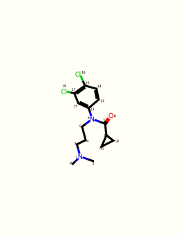 CN(C)CCCN(C(=O)C1CC1)c1ccc(Cl)c(Cl)c1